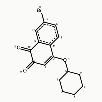 O=C1C=C(OC2CCCCC2)c2ccc(Br)cc2C1=O